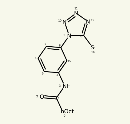 CCCCCCCCC(=O)Nc1cccc(-n2nnnc2[S])c1